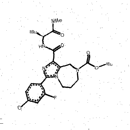 CNC(=O)[C@@H](NC(=O)c1nc(-c2ccc(Cl)cc2F)n2c1CN(C(=O)OC(C)(C)C)CCC2)C(C)(C)C